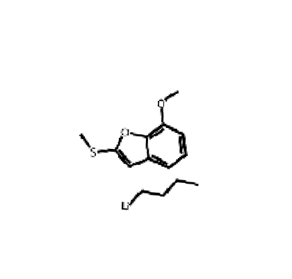 COc1cccc2cc(SC)oc12.[Li][CH2]CCC